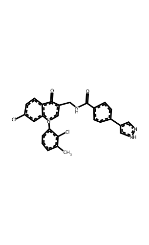 Cc1cccc(-n2cc(CNC(=O)c3ccc(-c4cn[nH]c4)cc3)c(=O)c3ccc(Cl)cc32)c1Cl